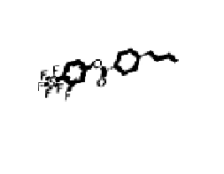 CCCC[C@H]1CC[C@H](C(=O)Oc2ccc(S(F)(F)(F)(F)F)c(F)c2)CC1